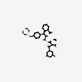 CC(c1oc(=O)c2ccccc2c1-c1ccc(CN2CCOCC2)cc1)n1nc(-c2cc(O)cc(F)c2)c2c(N)ncnc21